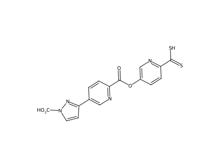 O=C(Oc1ccc(C(=S)S)nc1)c1ccc(-c2ccn(C(=O)O)n2)cn1